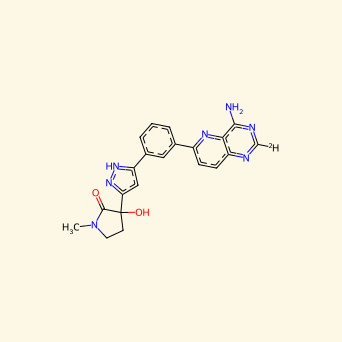 [2H]c1nc(N)c2nc(-c3cccc(-c4cc(C5(O)CCN(C)C5=O)n[nH]4)c3)ccc2n1